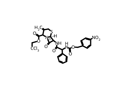 C=C1CS[C@H]2C(NC(=O)C(NC(=O)OCc3ccc([N+](=O)[O-])cc3)c3ccccc3)C(=O)N2C1C(=O)OCC(Cl)(Cl)Cl